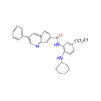 CCOC(=O)c1ccc(NC2CCCCC2)c(NC(=O)c2ccc3cc(-c4ccccc4)cnc3c2)c1